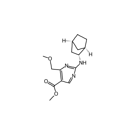 COCc1nc(N[C@@H]2C[C@H]3CC[C@@H]2C3)ncc1C(=O)OC